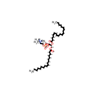 CCCCC/C=C\C/C=C\C/C=C\C/C=C\CCCC(=O)O[C@H](COC(=O)CCCCCCC/C=C\CCCCCCCC)COP(=O)(O)OCC[N+](C)(C)C